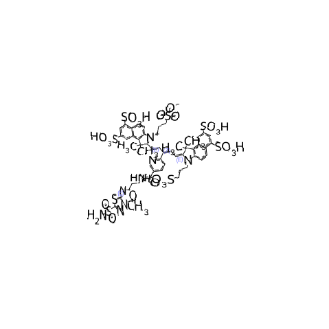 Cn1nc(S(N)(=O)=O)s/c1=N/C(=O)CCNC(=O)c1ccc(C(=C\C=C2\N(CCCS(=O)(=O)O)c3ccc4c(S(=O)(=O)O)cc(S(=O)(=O)O)cc4c3C2(C)C)/C=C/C2=[N+](CCCS(=O)(=O)[O-])c3ccc4c(S(=O)(=O)O)cc(S(=O)(=O)O)cc4c3C2(C)C)nc1